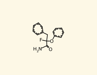 NC(=O)C(F)(Cc1ccccc1)Oc1ccccc1